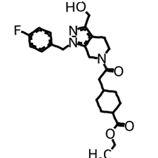 CCOC(=O)C1CCC(CC(=O)N2CCc3c(CO)nn(Cc4ccc(F)cc4)c3C2)CC1